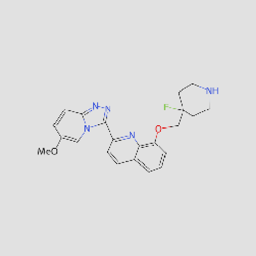 COc1ccc2nnc(-c3ccc4cccc(OCC5(F)CCNCC5)c4n3)n2c1